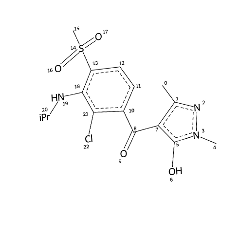 Cc1nn(C)c(O)c1C(=O)c1ccc(S(C)(=O)=O)c(NC(C)C)c1Cl